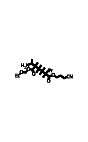 CCOCOC(=O)C(C)(C(C)N)C(C)(C)C(C)(C)C(C)(C(=O)OCCCC#N)C(C)C